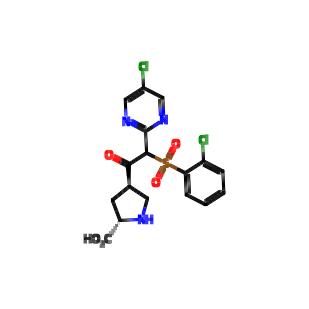 O=C(C(c1ncc(Cl)cn1)S(=O)(=O)c1ccccc1Cl)[C@H]1CN[C@H](C(=O)O)C1